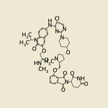 CNC(=O)COc1cc2cc(Nc3nc(N4CCC(O[C@@H]5C[C@@H](COc6cccc7c6C(=O)N(C6CCC(=O)NC6=O)C7=O)N(C)C5)CC4)ncc3Cl)ccc2n(C(C)C)c1=O